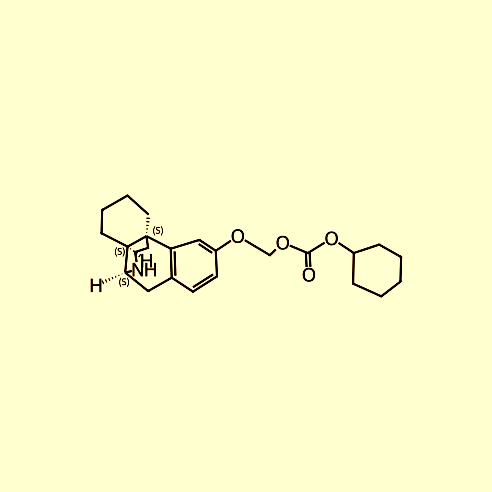 O=C(OCOc1ccc2c(c1)[C@]13CCCC[C@@H]1[C@H](C2)NCC3)OC1CCCCC1